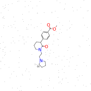 COC(=O)c1ccc(C2CCCN(CCN3CCC[C@@H]3C)C2=O)cc1